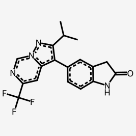 CC(C)c1nn2cnc(C(F)(F)F)cc2c1-c1ccc2c(c1)CC(=O)N2